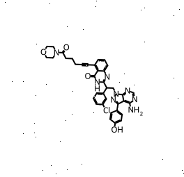 Nc1ncnc2c1c(-c1ccc(O)cc1)nn2CC(c1cccc(Cl)c1)c1nc2cccc(C#CCCCC(=O)N3CCOCC3)c2c(=O)[nH]1